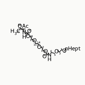 CCCCCCCOCCOCCNC(=O)OCCOCCOCCOC(=O)NCC(C)OC(C)=O